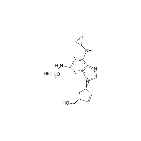 Br.Nc1nc(NC2CC2)c2ncn([C@H]3C=C[C@@H](CO)C3)c2n1.O